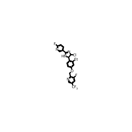 CCc1cc(OCc2ncc(C(F)(F)F)cc2F)ccc1C1NC(c2ccc(F)nc2)=NC1Cl